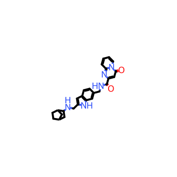 O=C(NCc1ccc2cc(CNC3CC4CCC3C4)[nH]c2c1)c1cc(=O)n2ccccc2n1